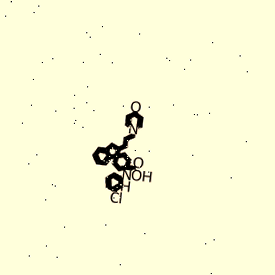 O=C(O)C1(Nc2cccc(Cl)c2)CCC2(CC1)c1ccccc1CC2CCCn1ccc(=O)cc1